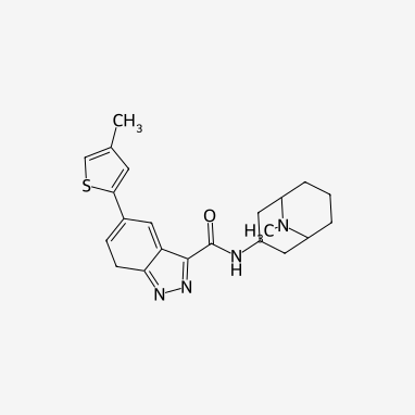 Cc1csc(C2=CCC3=NN=C(C(=O)NC4CC5CCCC(C4)N5C)C3=C2)c1